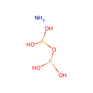 N.OP(O)OP(O)O